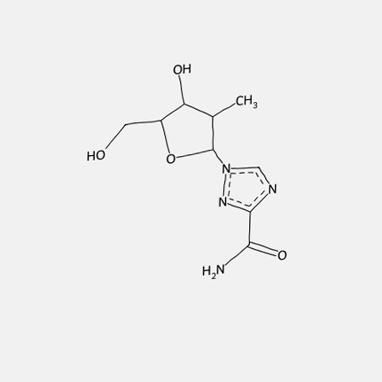 CC1C(O)C(CO)OC1n1cnc(C(N)=O)n1